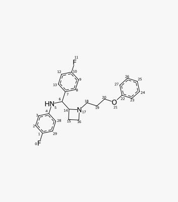 Fc1ccc(NC(c2ccc(F)cc2)C2CCN2CCCOc2ccccc2)cc1